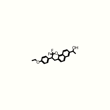 CCOc1ccc(C2Cc3ccc4cc(C(C)O)ccc4c3OC2(F)F)cc1